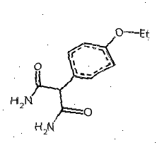 CCOc1ccc(C(C(N)=O)C(N)=O)cc1